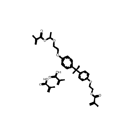 C=C(C)C(=O)O.C=C(C)C(=O)O.C=C(C)C(=O)OCCOc1ccc(C(C)(C)c2ccc(OCCOC(C)OC(=O)C(=C)C)cc2)cc1